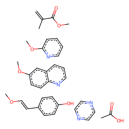 C=C(C)C(=O)OC.CC(=O)O.COC=Cc1ccc(O)cc1.COc1ccc2ncccc2c1.COc1ccccn1.c1cnccn1